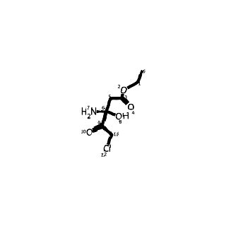 CCOC(=O)C[C@](N)(O)C(=O)CCl